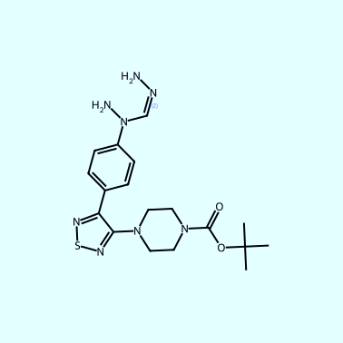 CC(C)(C)OC(=O)N1CCN(c2nsnc2-c2ccc(N(N)/C=N\N)cc2)CC1